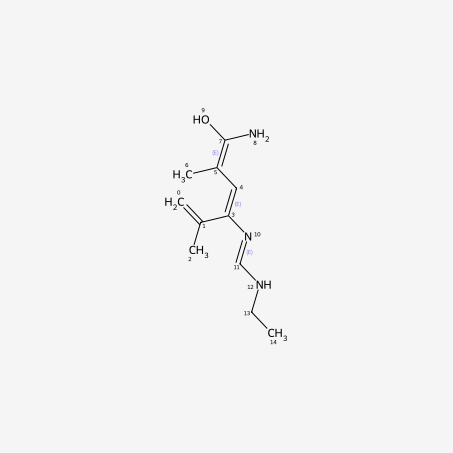 C=C(C)C(=C\C(C)=C(/N)O)/N=C/NCC